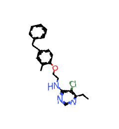 CCc1ncnc(NCCOc2ccc(Cc3ccccc3)cc2C)c1Cl